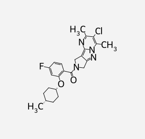 Cc1nc2c3c(nn2c(C)c1Cl)CN(C(=O)c1ccc(F)cc1O[C@H]1CC[C@@H](C)CC1)C3